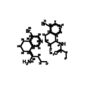 CCC(=O)NC1c2cncc(Br)c2CCC1F.CCC/C(N)=C1/CCCc2c(Br)cncc21